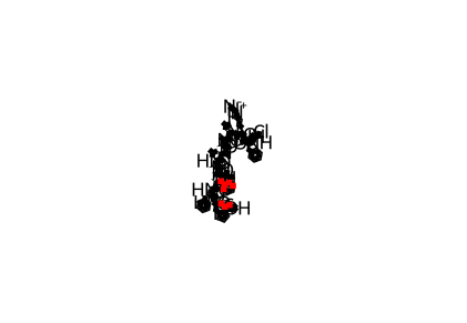 CC(C)C[C@H](NC(=O)[C@H](CCCCN=[N+]=[N-])NC(=O)[C@H](Cc1ccccc1)NC(=O)CCl)C(=O)N(C)[C@@H](C)C(=O)N(C)[C@@H](CC(C)C)C(=O)N[C@@H](C)C(=O)N(C)[C@@H](Cc1ccccc1)C(=O)N(C)[C@@H](C)C(=O)N[C@@H](C)C(=O)N[C@@H](Cc1ccccc1)C(=O)N[C@@H](CSSC(C)(C)C)CN1CCC[C@H]1C(=O)O